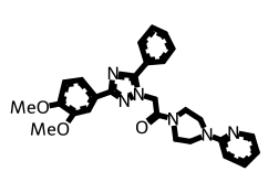 COc1ccc(-c2nc(-c3ccccc3)n(CC(=O)N3CCN(c4ccccn4)CC3)n2)cc1OC